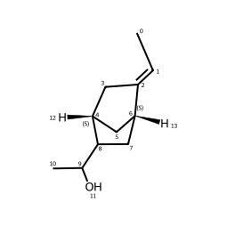 CC=C1C[C@@H]2C[C@H]1CC2C(C)O